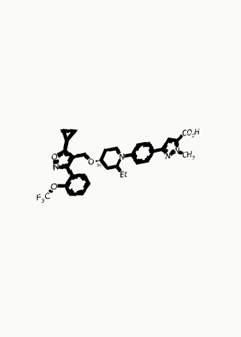 CCC1C[C@H](OCc2c(-c3ccccc3OC(F)(F)F)noc2C2CC2)CCN1c1ccc(-c2cc(C(=O)O)n(C)n2)cc1